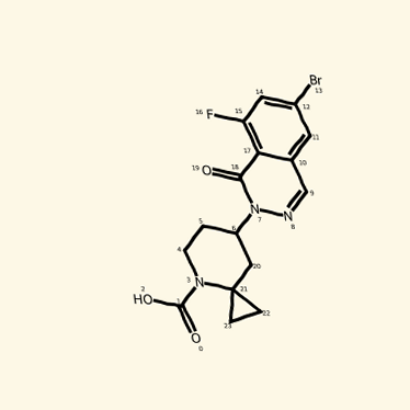 O=C(O)N1CCC(n2ncc3cc(Br)cc(F)c3c2=O)CC12CC2